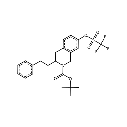 CC(C)(C)OC(=O)N1Cc2cc(OS(=O)(=O)C(F)(F)F)ccc2CC1CCc1ccccc1